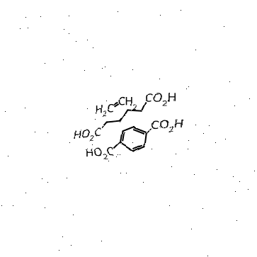 C=C.O=C(O)CCCCC(=O)O.O=C(O)c1ccc(C(=O)O)cc1